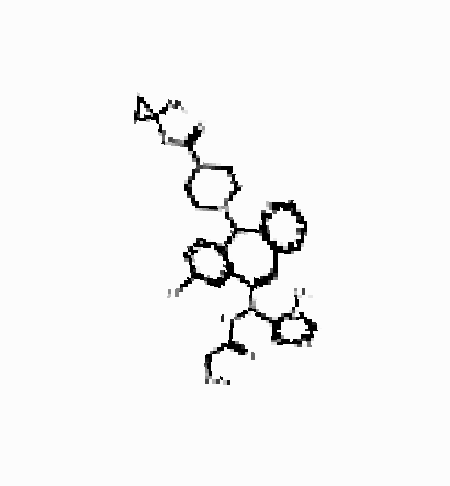 COCC(=O)NC(C1=Cc2cccnc2C(N2CCN(C(=O)OC3(C)CC3)CC2)c2ccc(Cl)cc21)c1cncn1C